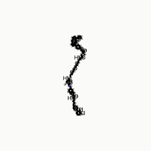 CN(CC(=O)NCCCOCCOCCOCCCNC(=O)CN(C)C(=O)COc1ccc(-c2ccc3n2[B-](F)(F)[N+]2=C(c4cccs4)C=CC2=C3)cc1)C(=O)/C=C/c1ccc2sc(C(=O)NCCCCN3CCN(c4cccc(Cl)c4Cl)CC3)cc2c1